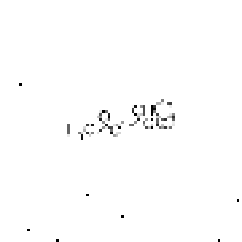 C=C(CCOC(=O)CC)OC12CC3CC(CC(C3)C1)C2